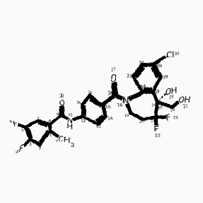 Cc1cc(F)c(F)cc1C(=O)Nc1ccc(C(=O)N2CCC(F)(F)[C@](O)(CO)c3cc(Cl)ccc32)cc1